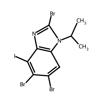 CC(C)n1c(Br)nc2c(I)c(Br)c(Br)cc21